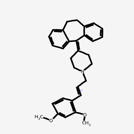 COc1ccc(/C=C/CN2CCC(=C3c4ccccc4CCc4ccccc43)CC2)c(OC)c1